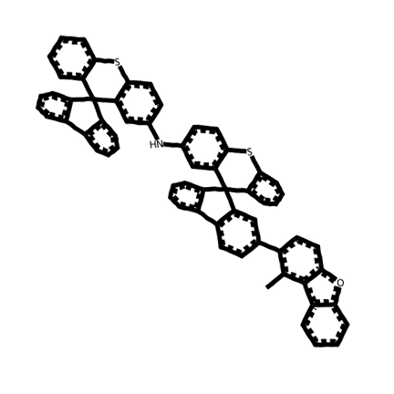 Cc1c(-c2ccc3c(c2)C2(c4ccccc4Sc4ccc(Nc5ccc6c(c5)C5(c7ccccc7S6)c6ccccc6-c6ccccc65)cc42)c2ccccc2-3)ccc2oc3ccccc3c12